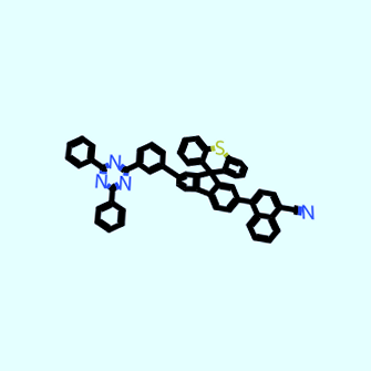 N#Cc1ccc(-c2ccc3c(c2)C2(c4ccccc4Sc4ccccc42)c2cc(-c4cccc(-c5nc(-c6ccccc6)nc(-c6ccccc6)n5)c4)ccc2-3)c2ccccc12